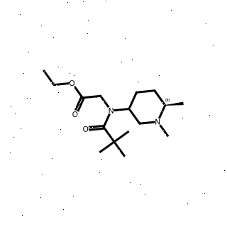 CCOC(=O)CN(C(=O)C(C)(C)C)C1CC[C@@H](C)N(C)C1